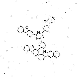 c1ccc2cc3c(cc2c1)c1ccccc1n3-c1ccc(-c2nc(-c3ccc4c(c3)oc3ccccc34)nc(-c3ccc4c(c3)oc3ccccc34)n2)cc1-c1cccc2c1sc1ccccc12